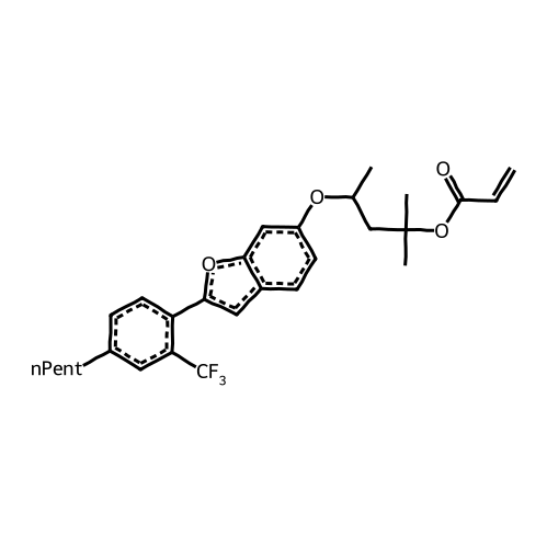 C=CC(=O)OC(C)(C)CC(C)Oc1ccc2cc(-c3ccc(CCCCC)cc3C(F)(F)F)oc2c1